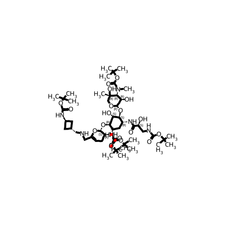 CN(C(=O)OC(C)(C)C)[C@@H]1[C@@H](O)[C@@H](O[C@@H]2[C@@H](O)[C@H](O[C@H]3OC(CNC[C@H]4C[C@H](NC(=O)OC(C)(C)C)C4)=CC[C@H]3NC(=O)OC(C)(C)C)[C@@H](NC(=O)OC(C)(C)C)C[C@H]2NC(=O)[C@@H](O)CNC(=O)OC(C)(C)C)OC[C@]1(C)O